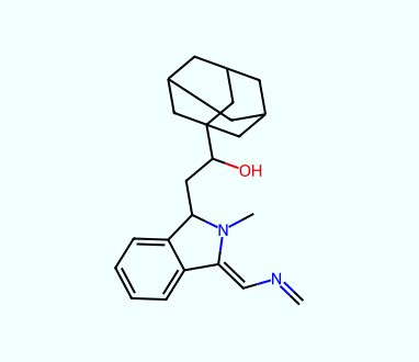 C=N/C=C1/c2ccccc2C(CC(O)C23CC4CC(CC(C4)C2)C3)N1C